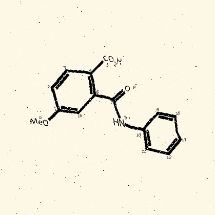 COc1ccc(C(=O)O)c(C(=O)Nc2ccccc2)c1